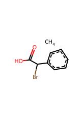 C.O=C(O)C(Br)c1ccccc1